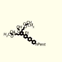 C=C(C)C(=O)OCCCc1cc(C2CC=C(C3CCC(C4CCC(CCCCC)CC4)CC3)C=C2CC)cc(CCCOC(=O)C(=C)C)c1OCCO